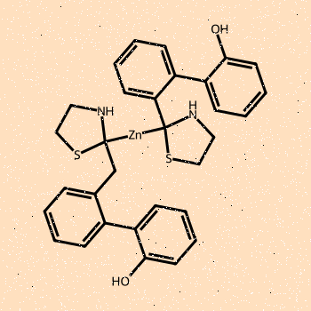 Oc1ccccc1-c1ccccc1C[C]1([Zn][C]2(c3ccccc3-c3ccccc3O)NCCS2)NCCS1